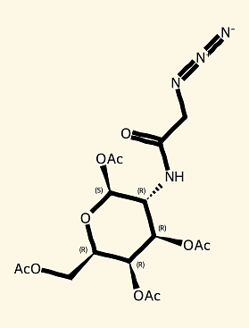 CC(=O)OC[C@H]1O[C@@H](OC(C)=O)[C@H](NC(=O)CN=[N+]=[N-])[C@@H](OC(C)=O)[C@H]1OC(C)=O